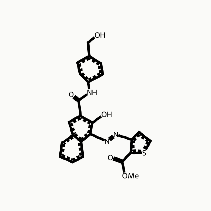 COC(=O)c1sccc1/N=N/c1c(O)c(C(=O)Nc2ccc(CO)cc2)cc2ccccc12